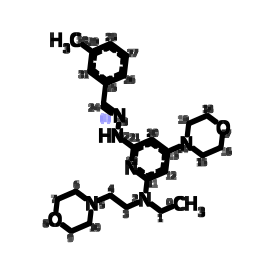 CCN(CCN1CCOCC1)c1cc(N2CCOCC2)cc(N/N=C/c2cccc(C)c2)n1